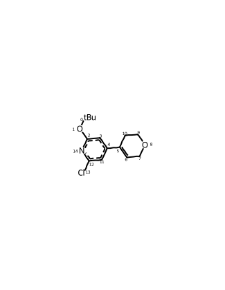 CC(C)(C)Oc1cc(C2=CCOCC2)cc(Cl)n1